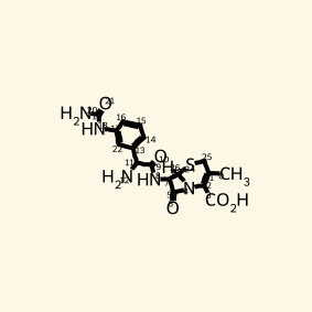 CC1=C(C(=O)O)N2C(=O)C(NC(=O)C(N)c3cccc(NC(N)=O)c3)[C@@H]2SC1